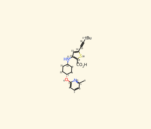 Cc1cccc(O[C@H]2CC[C@H](Nc3cc(C#CC(C)(C)C)sc3C(=O)O)CC2)n1